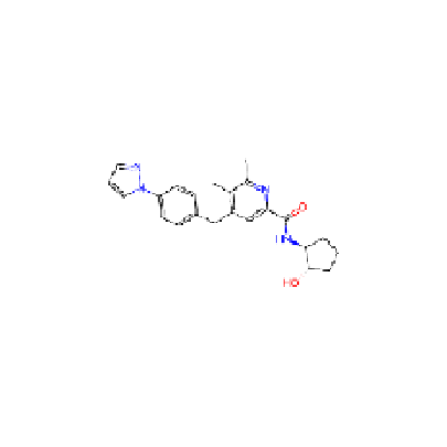 Cc1nc(C(=O)N[C@H]2CCC[C@@H]2O)cc(Cc2ccc(-n3cccn3)cc2)c1C